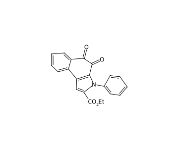 CCOC(=O)c1cc2c(n1-c1ccccc1)C(=O)C(=O)c1ccccc1-2